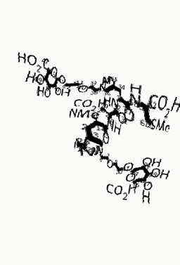 CN[C@@H](Cc1cn(CCOCCOC2OC(C(=O)O)C(O)[C@H](O)[C@@H]2O)nn1)C(=O)N[C@@H](CC(=O)O)C(=O)N[C@@H](Cc1cn(CCOCCOC2OC(C(=O)O)C(O)[C@H](O)[C@@H]2O)nn1)C(=O)N[C@H](CSC)C(=O)O